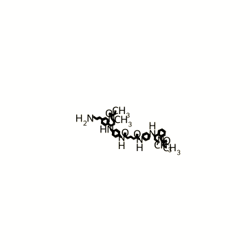 CCC(=O)N1c2ccccc2[C@H](Nc2ccc(NC(=O)CCCC(=O)Nc3ccc(N[C@@H]4C[C@H](C)N(C(=O)CC)c5cc(/C=C/CN)ccc54)cc3)cc2)C[C@@H]1C